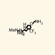 CNC(N)=NC(=O)c1cc2c(C(F)(F)F)cc(OCCN)cc2[nH]1